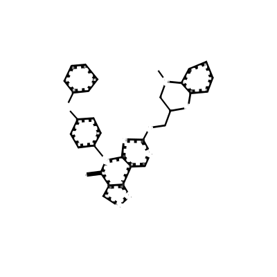 CN1CC(CNc2ncc3c4n[nH]cc4c(=O)n(-c4ccc(Oc5ccccc5)cc4)c3n2)Oc2ccccc21